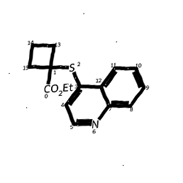 CCOC(=O)C1(Sc2ccnc3ccccc23)CCC1